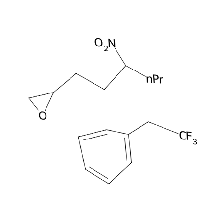 CCCC(CCC1CO1)[N+](=O)[O-].FC(F)(F)Cc1ccccc1